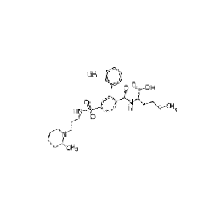 CSCCC(NC(=O)c1ccc(S(=O)(=O)NCCCN2CCCCC2C)cc1-c1ccccc1)C(=O)O.[LiH]